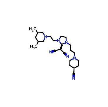 CC1CC(C)CN(CCN2CCN(CCCN3CCC(C#N)CC3)C2=C(C#N)C#N)C1